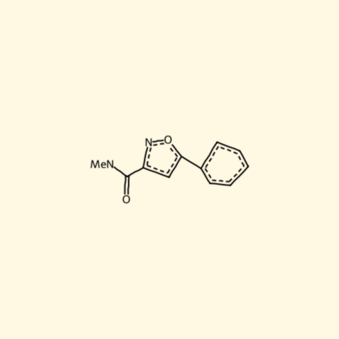 CNC(=O)c1cc(-c2ccccc2)on1